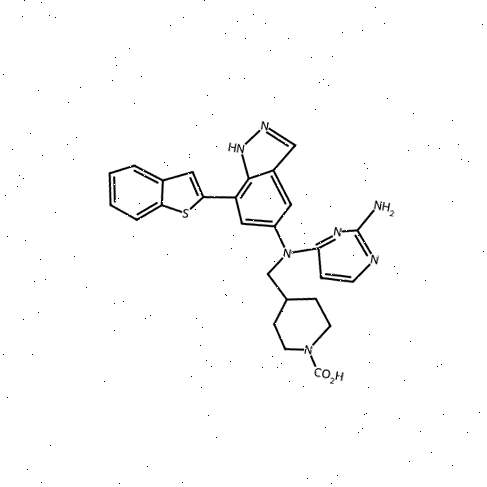 Nc1nccc(N(CC2CCN(C(=O)O)CC2)c2cc(-c3cc4ccccc4s3)c3[nH]ncc3c2)n1